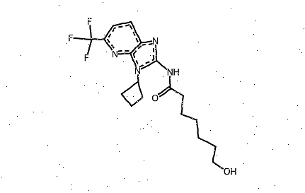 O=C(CCCCCCO)Nc1nc2ccc(C(F)(F)F)nc2n1C1CCC1